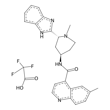 Cc1ccc2nccc(C(=O)N[C@@H]3CCN(C)[C@@H](c4nc5ccccc5[nH]4)C3)c2c1.O=C(O)C(F)(F)F